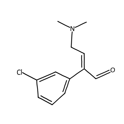 CN(C)C/C=C(/C=O)c1cccc(Cl)c1